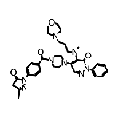 CC1=NN(c2ccc(C(=O)N3CCN(c4cnn(-c5ccccc5)c(=O)c4N(C)CCCN4CCOCC4)CC3)cc2)C(=O)C1